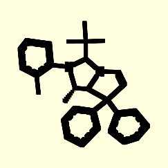 Cc1ccccc1N1C(C(C)(C)C)N2C=CC(c3ccccc3)(c3ccccc3)C2[C@@H]1C